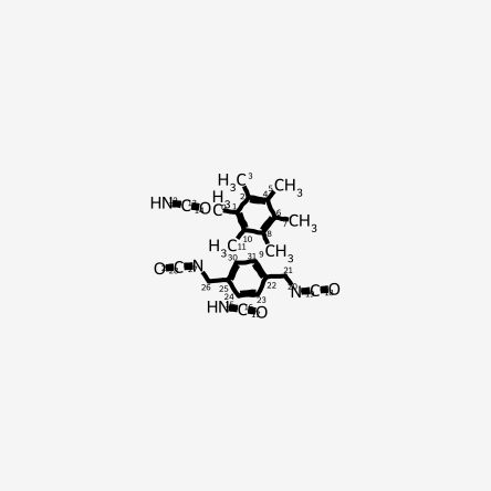 Cc1c(C)c(C)c(C)c(C)c1C.N=C=O.N=C=O.O=C=NCc1ccc(CN=C=O)cc1